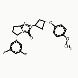 COc1ccc(O[C@H]2C[C@H](n3nc4n(c3=O)[C@H](c3cc(F)cc(F)c3)CC4)C2)cc1